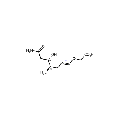 C[C@H](C/C=N/OCC(=O)O)[C@@H](O)CC(N)=O